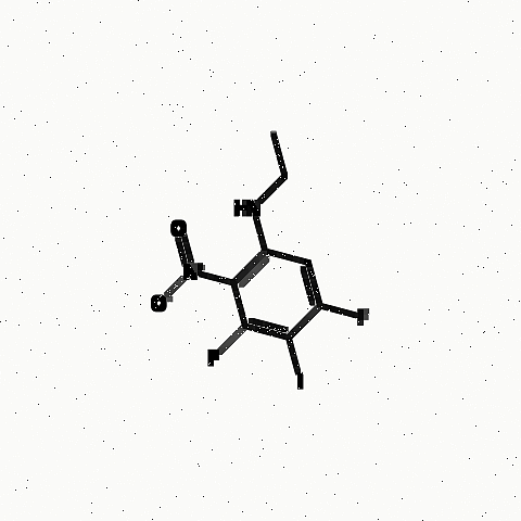 CCNc1cc(F)c(I)c(F)c1[N+](=O)[O-]